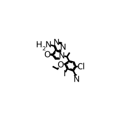 CCOc1c(C(C)n2ccc(=O)c3c(N)ncnc32)cc(Cl)c(C#N)c1I